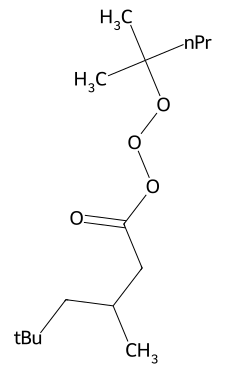 CCCC(C)(C)OOOC(=O)CC(C)CC(C)(C)C